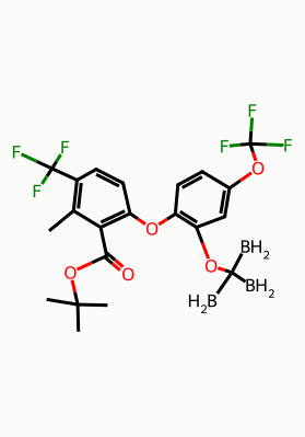 BC(B)(B)Oc1cc(OC(F)(F)F)ccc1Oc1ccc(C(F)(F)F)c(C)c1C(=O)OC(C)(C)C